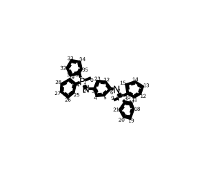 CP(=Nc1ccc(N=P(C)(c2ccccc2)c2ccccc2)cc1)(c1ccccc1)c1ccccc1